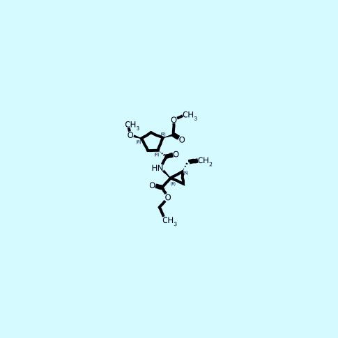 C=C[C@@H]1C[C@]1(NC(=O)[C@@H]1C[C@@H](OC)C[C@H]1C(=O)OC)C(=O)OCC